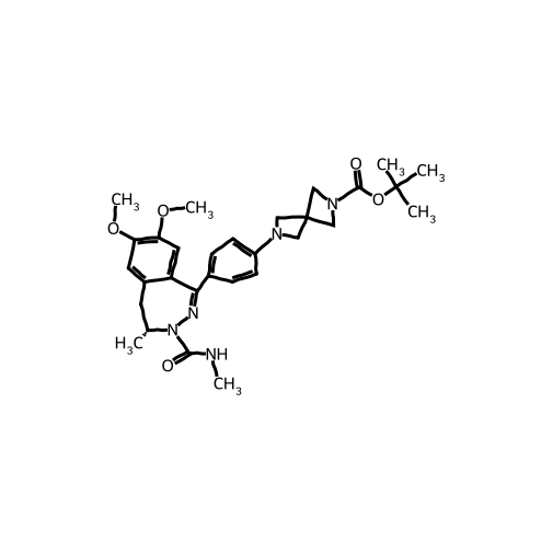 CNC(=O)N1N=C(c2ccc(N3CC4(CN(C(=O)OC(C)(C)C)C4)C3)cc2)c2cc(OC)c(OC)cc2C[C@H]1C